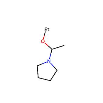 CCOC(C)N1CCCC1